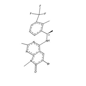 Cc1nc(N[C@H](C)c2cccc(C(F)(F)F)c2C)c2cc(Br)c(=O)n(C)c2n1